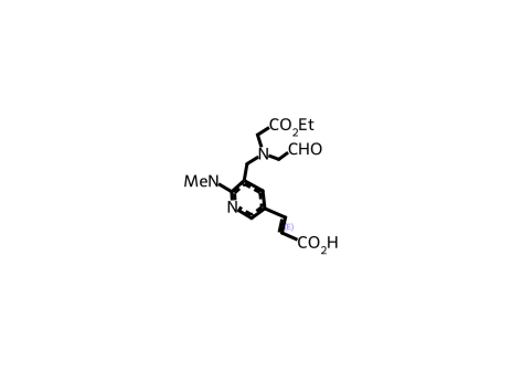 CCOC(=O)CN(CC=O)Cc1cc(/C=C/C(=O)O)cnc1NC